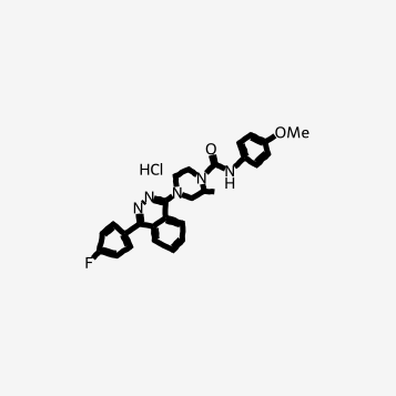 COc1ccc(NC(=O)N2CCN(c3nnc(-c4ccc(F)cc4)c4ccccc34)CC2C)cc1.Cl